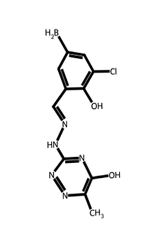 Bc1cc(Cl)c(O)c(/C=N/Nc2nnc(C)c(O)n2)c1